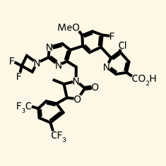 COc1cc(F)c(-c2ncc(C(=O)O)cc2Cl)cc1-c1cnc(N2CC(F)(F)C2)nc1CN1C(=O)OC(c2cc(C(F)(F)F)cc(C(F)(F)F)c2)C1C